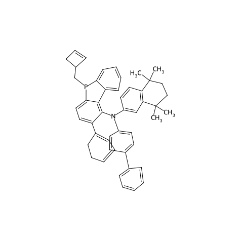 CC1(C)CCC(C)(C)c2cc(N(c3ccc(-c4ccccc4)cc3)c3c(C4=CC=CCC4)ccc4c3c3ccccc3p4CC3C=CC3)ccc21